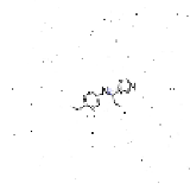 CC/C(=N\c1ccc(CC)cc1)n1ccnc1